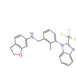 Cc1c(CNc2ccc3c(c2)OC[C]3)cccc1-n1c(C(F)(F)F)nc2ccccc21